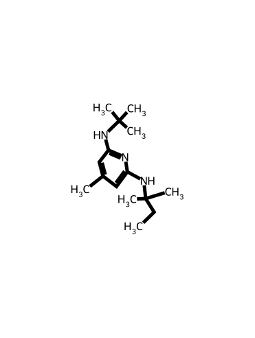 CCC(C)(C)Nc1cc(C)cc(NC(C)(C)C)n1